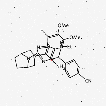 CCN[C@H](CC(=O)N1CC2CCC(C1)N2c1nc(N)c2cc(OC)c(OC)c(F)c2n1)c1ccc(C#N)cc1